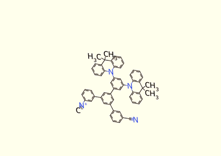 [C-]#[N+]c1cccc(-c2cc(-c3cccc(C#N)c3)cc(-c3cc(N4c5ccccc5C(C)(C)c5ccccc54)cc(N4c5ccccc5C(C)(C)c5ccccc54)c3)c2)c1